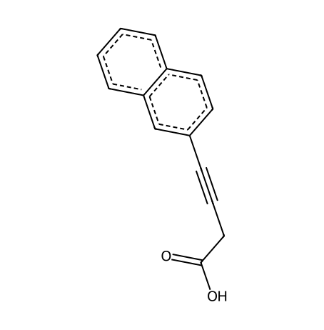 O=C(O)CC#Cc1ccc2ccccc2c1